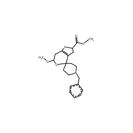 COC(=O)C1CC2=C(CC(OC)OC23CCN(Cc2ccccc2)CC3)S1